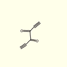 C#CC(=O)C(=O)C#C